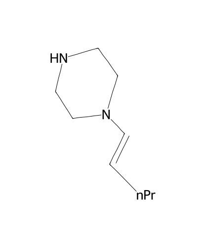 [CH2]CCC=CN1CCNCC1